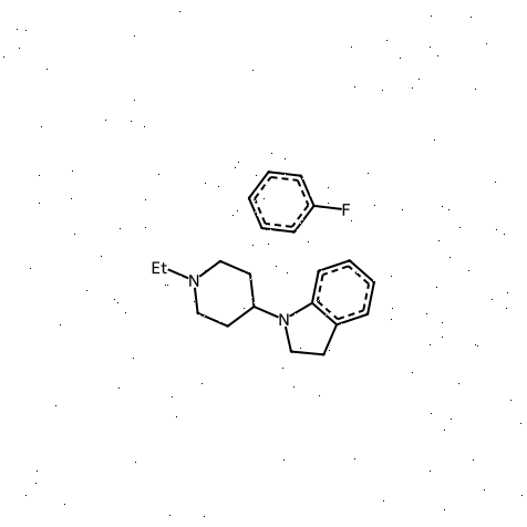 CCN1CCC(N2CCc3ccccc32)CC1.Fc1ccccc1